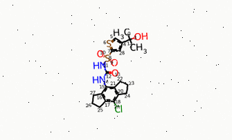 CC(C)(O)c1csc(S(=O)(=O)NC(=O)Nc2c3c(c(Cl)c4c2CCC4)CCC3)c1